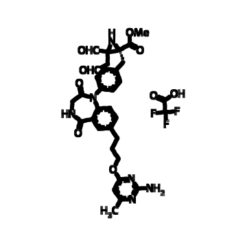 COC(=O)[C@]1(Cc2ccc(N3C(=O)CNC(=O)c4cc(CCCOc5cc(C)nc(N)n5)ccc43)cc2)NC1(C=O)CC=O.O=C(O)C(F)(F)F